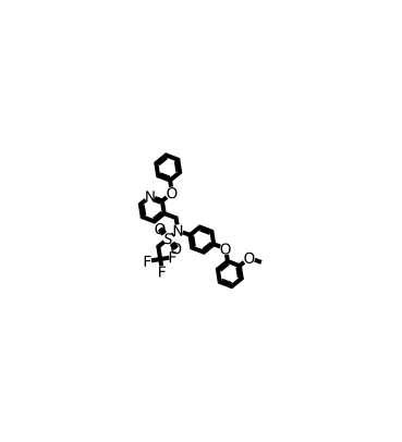 COc1ccccc1Oc1ccc(N(Cc2cccnc2Oc2ccccc2)S(=O)(=O)CC(F)(F)F)cc1